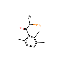 Cc1ccc(C)c(C(=O)C(P)C(C)C)c1C